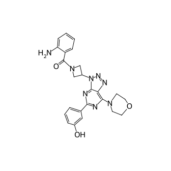 Nc1ccccc1C(=O)N1CC(n2nnc3c(N4CCOCC4)nc(-c4cccc(O)c4)nc32)C1